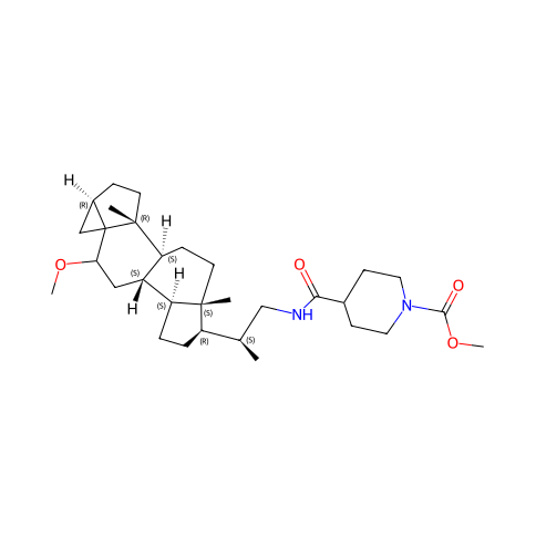 COC(=O)N1CCC(C(=O)NC[C@@H](C)[C@H]2CC[C@H]3[C@@H]4CC(OC)C56C[C@H]5CC[C@]6(C)[C@H]4CC[C@]23C)CC1